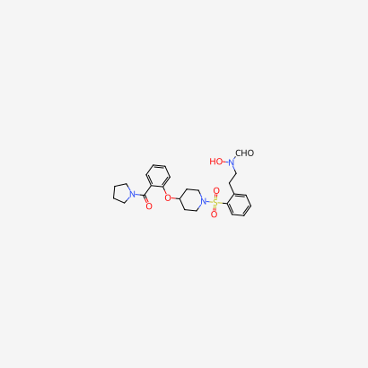 O=CN(O)CCc1ccccc1S(=O)(=O)N1CCC(Oc2ccccc2C(=O)N2CCCC2)CC1